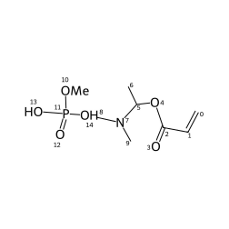 C=CC(=O)OC(C)N(C)C.COP(=O)(O)O